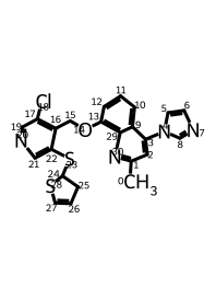 Cc1cc(-n2ccnc2)c2cccc(OCc3c(Cl)cncc3SC3CC=CS3)c2n1